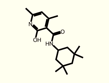 Cc1cc(C)c(C(=O)NC2CC(C)(C)CC(C)(C)C2)c(O)n1